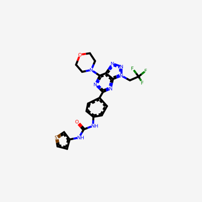 O=C(Nc1ccc(-c2nc(N3CCOCC3)c3nnn(CC(F)(F)F)c3n2)cc1)Nc1ccsc1